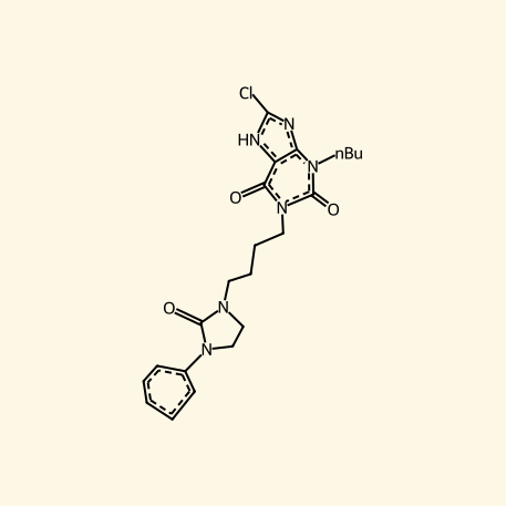 CCCCn1c(=O)n(CCCCN2CCN(c3ccccc3)C2=O)c(=O)c2[nH]c(Cl)nc21